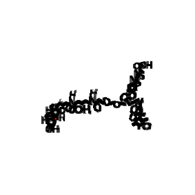 CC1=C(C)C(=O)C(C(C)(C)CC(=O)N(C)CCN(CCOCCOCCC(=O)NCCCCC(NC(=O)CC[C@@H](C)[C@H]2CC[C@@H]3C2[C@@H](O)C[C@H]2[C@H]3CC[C@@H]3C[C@H](O)CC[C@@]32C)C(=O)O)C(=O)Oc2ccc3nc(C4=NC(C(=O)O)CS4)sc3c2)=C(C)C1=O